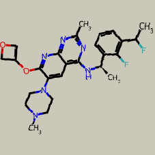 Cc1nc(N[C@H](C)c2cccc(C(C)F)c2F)c2cc(N3CCN(C)CC3)c(OC3COC3)nc2n1